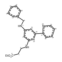 CCOC(=O)CCNc1cc(NCc2ccccc2)nc(-c2ccccn2)n1